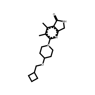 Cc1c(N2CCC(OCC3CCC3)CC2)nc2c(c1C)C(=O)NC2